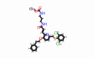 CC(C)(C)OC(=O)NCCCNC(=O)C=Cc1nc(CSc2c(Cl)cccc2Cl)ccc1OCCc1ccccc1